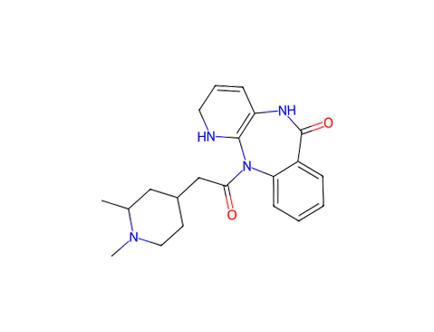 CC1CC(CC(=O)N2C3=C(C=CCN3)NC(=O)c3ccccc32)CCN1C